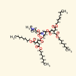 CCCCCCCCOC(=O)CC(CC(=O)OCCCCCCCC)CC(=O)OC[C@@H]1C[C@@H](OC(=O)CC(CC(=O)OCCCCCCCC)CC(=O)OCCCCCCCC)CN1C(=O)OCCN(C)C